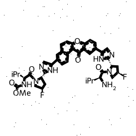 COC(=O)N[C@H](C(=O)N1C[C@H](F)C[C@H]1c1ncc(-c2ccc3c(ccc4oc5ccc(-c6cnc([C@@H]7C[C@@H](F)CN7C(=O)[C@@H](N)C(C)C)[nH]6)cc5c(=O)c43)c2)[nH]1)C(C)C